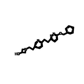 OC1CN(CCc2ccc(CCc3ccc(OCc4ccccc4)nn3)nc2)C1